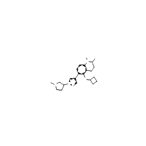 CC1CCc2c(ccc(-c3cnn(C4CCN(C)C4)c3)c2OC2CCC2)N1C(=O)O